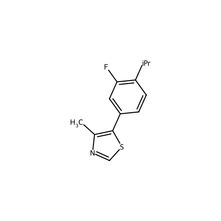 Cc1ncsc1-c1ccc(C(C)C)c(F)c1